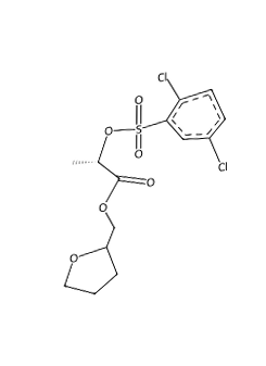 C[C@H](OS(=O)(=O)c1cc(Cl)ccc1Cl)C(=O)OCC1CCCO1